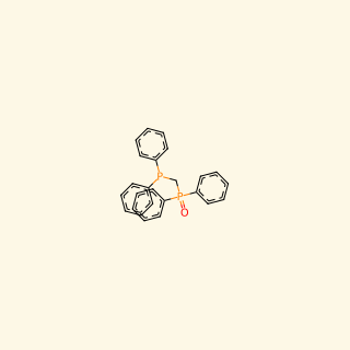 O=P(CP(c1ccccc1)c1ccccc1)(c1ccccc1)c1ccccc1